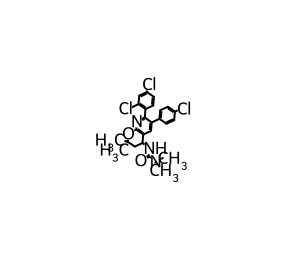 CN(C)C(=O)NC1CC(C)(C)Oc2nc(-c3ccc(Cl)cc3Cl)c(-c3ccc(Cl)cc3)cc21